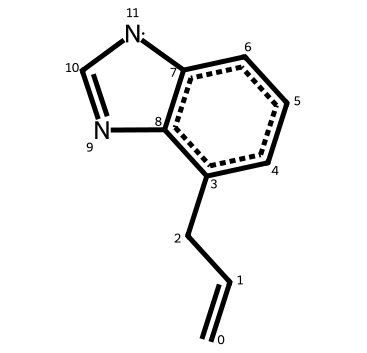 C=CCc1cccc2c1N=C[N]2